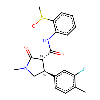 Cc1ccc([C@H]2CN(C)C(=O)[C@@H]2C(=O)Nc2ccccc2[S+](C)[O-])cc1F